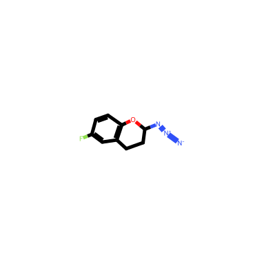 [N-]=[N+]=N[C]1CCc2cc(F)ccc2O1